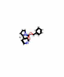 C[C@]1(c2ccncc2)CCCN1C(=O)OCc1ccccc1